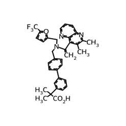 C=C(c1c(C)c(C)nc2cccnc12)N(Cc1ccc(-c2cccc(C(C)(C)C(=O)O)c2)cc1)Cc1ccc(C(F)(F)F)o1